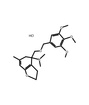 COc1cc(COCC2(N(C)C)CC(C)=CC3=C2CCO3)cc(OC)c1OC.Cl